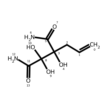 C=CCC(O)(C(N)=O)C(O)(O)C(N)=O